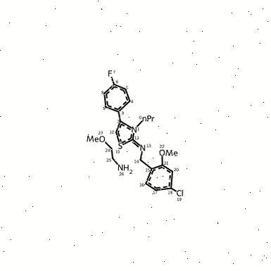 CCCn1c(-c2ccc(F)cc2)csc1=NCc1ccc(Cl)cc1OC.COCCN